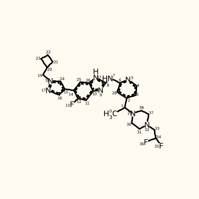 CC(c1ccnc(Nc2nc3cc(F)c(-c4cnn(CC5CCC5)c4)cc3[nH]2)c1)N1CCN(CC(F)F)CC1